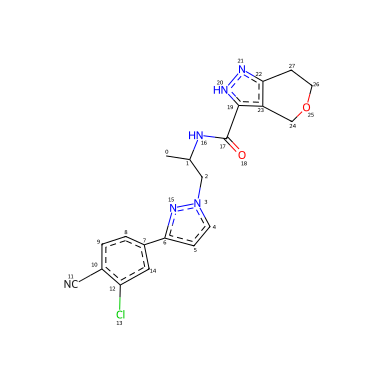 CC(Cn1ccc(-c2ccc(C#N)c(Cl)c2)n1)NC(=O)c1[nH]nc2c1COCC2